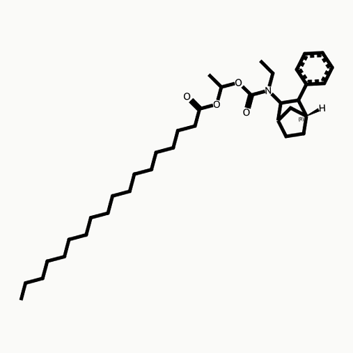 CCCCCCCCCCCCCCCCCC(=O)OC(C)OC(=O)N(CC)C1C2CC[C@H](C2)C1c1ccccc1